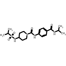 CC(C)NC(=O)c1ccc(NC(=O)N2CCC(NS(=O)(=O)C(C)C)CC2)cc1